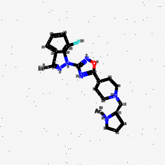 CCc1nn(-c2noc(C3CCN(C[C@H]4CCCN4C(C)=O)CC3)n2)c2c(F)cccc12